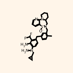 Cc1ccc(Cc2ccc(N(N)CC3CC3)c(N)c2C(F)F)cc1CN1CC2CCCCN2c2ncccc2[S+]1[O-]